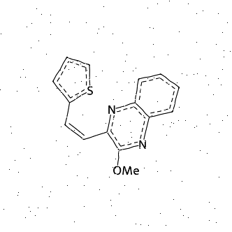 COc1nc2ccccc2nc1/C=C\c1cccs1